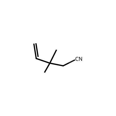 [CH]=CC(C)(C)CC#N